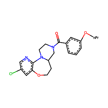 CCCOc1cccc(C(=O)N2CCN3c4ncc(Cl)cc4OCCC3C2)c1